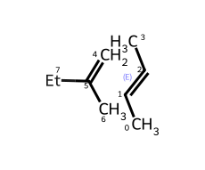 C/C=C/C.C=C(C)CC